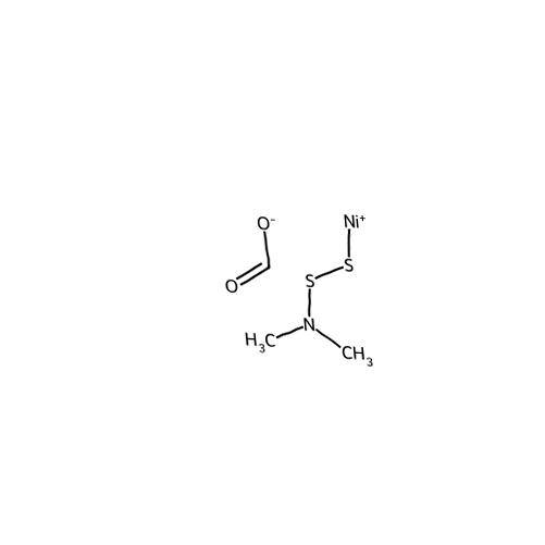 CN(C)S[S][Ni+].O=C[O-]